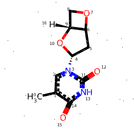 Cc1cn([C@H]2CC3OC[C@H]3O2)c(=O)[nH]c1=O